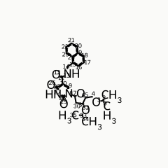 CC(C)OCC1OC(n2cc(C(=O)NCc3cccc4ccccc34)c(=O)[nH]c2=O)CC1OC(C)C